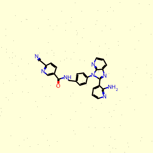 N#Cc1ccc(C(=O)NCc2ccc(-n3c(-c4cccnc4N)nc4cccnc43)cc2)cn1